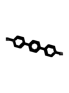 CCN1C=CC(c2ccc(C3=CCN(CC)C=C3)cc2)=CC1